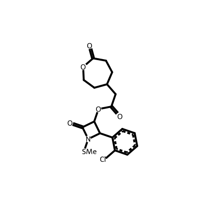 CSN1C(=O)C(OC(=O)CC2CCOC(=O)CC2)C1c1ccccc1Cl